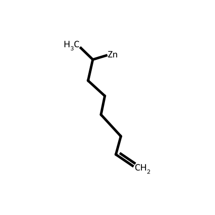 C=CCCCC[CH](C)[Zn]